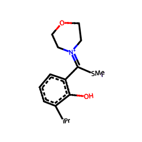 CSC(c1cccc(C(C)C)c1O)=[N+]1CCOCC1.[I-]